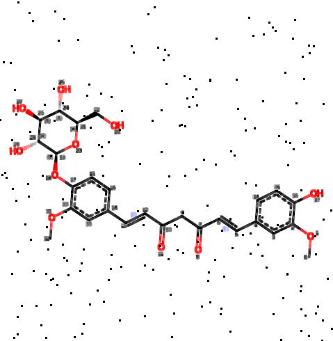 COc1cc(/C=C/C(=O)CC(=O)/C=C/c2ccc(O[C@@H]3O[C@H](CO)[C@@H](O)[C@H](O)[C@H]3O)c(OC)c2)ccc1O